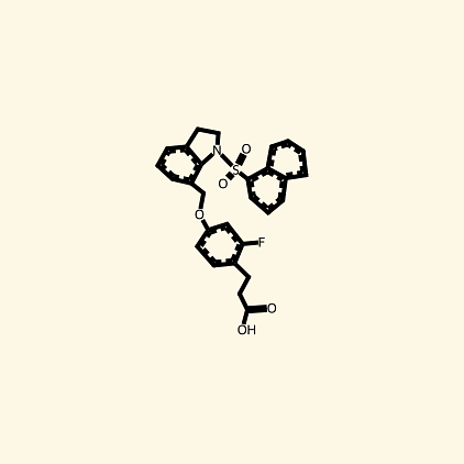 O=C(O)CCc1ccc(OCc2cccc3c2N(S(=O)(=O)c2cccc4ccccc24)CC3)cc1F